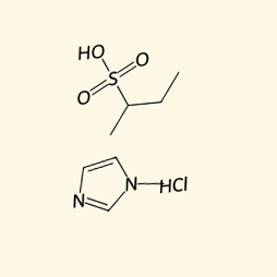 CCC(C)S(=O)(=O)O.Cl.Cn1ccnc1